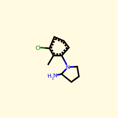 Cc1c(Cl)cccc1N1CCCC1N